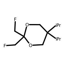 CC(C)C1(C(C)C)COC(CF)(CF)OC1